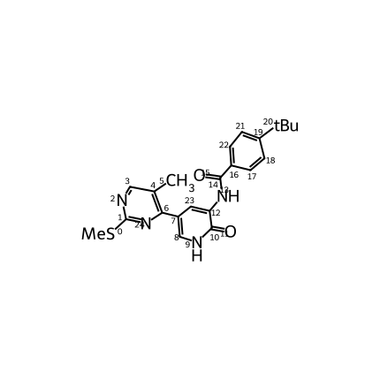 CSc1ncc(C)c(-c2c[nH]c(=O)c(NC(=O)c3ccc(C(C)(C)C)cc3)c2)n1